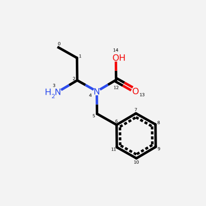 CCC(N)N(Cc1ccccc1)C(=O)O